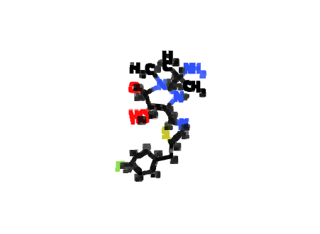 Cn1c(C(C)(C)N)nc(-c2ncc(Cc3ccc(F)cc3)s2)c(O)c1=O